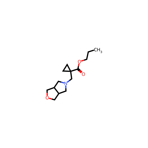 CCCOC(=O)C1(CN2CC3COCC3C2)CC1